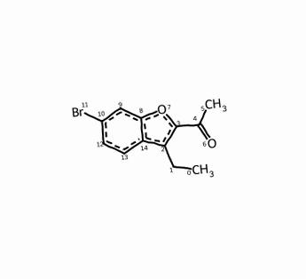 CCc1c(C(C)=O)oc2cc(Br)ccc12